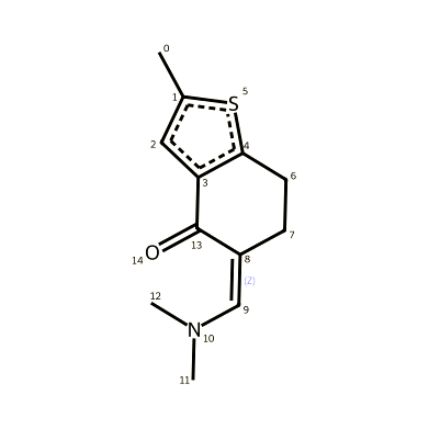 Cc1cc2c(s1)CC/C(=C/N(C)C)C2=O